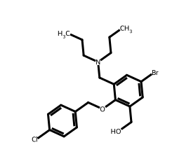 CCCN(CCC)Cc1cc(Br)cc(CO)c1OCc1ccc(Cl)cc1